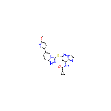 COc1ccc(-c2ccc3nnc(Sc4cc(NC(=O)C5CC5)c5nccn5n4)n3c2)cn1